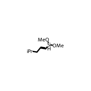 CO[SiH](C=CCC(C)C)OC